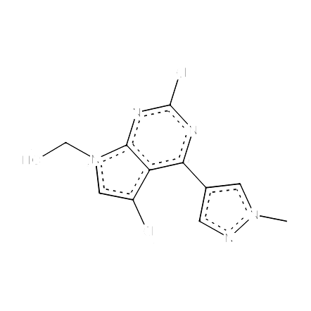 Cn1cc(-c2nc(Cl)nc3c2c(Cl)cn3CO)cn1